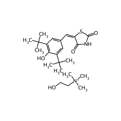 CC(C)(C)c1cc(C=C2SC(=O)NC2=O)cc(C(C)(C)C)c1O.C[N+](C)(C)CCO